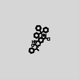 CC(c1ccccc1)N1Cc2cc3c(Cl)nn(C(c4ccccc4)(c4ccccc4)c4ccccc4)c3cc2NC1=O